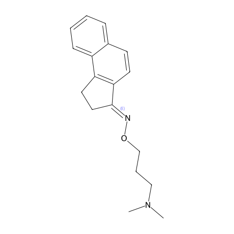 CN(C)CCCO/N=C1\CCc2c1ccc1ccccc21